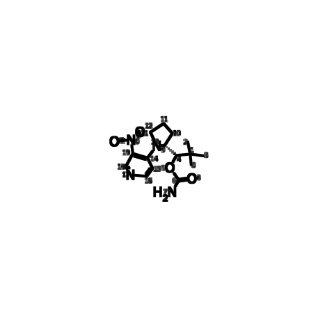 CC(C)(C)C(OC(N)=O)[C@H]1CCCN1c1ccncc1[N+](=O)[O-]